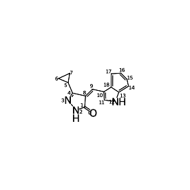 O=C1NN=C(C2CC2)/C1=C/c1c[nH]c2ccccc12